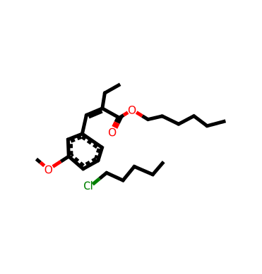 CCCCCCOC(=O)C(=Cc1cccc(OC)c1)CC.CCCCCCl